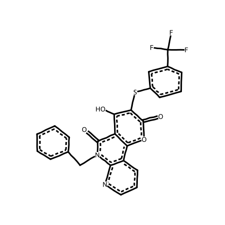 O=c1oc2c(c(O)c1Sc1cccc(C(F)(F)F)c1)c(=O)n(Cc1ccccc1)c1ncccc21